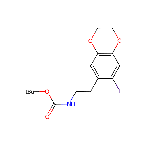 CC(C)(C)OC(=O)NCCc1cc2c(cc1I)OCCO2